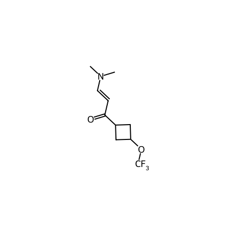 CN(C)C=CC(=O)C1CC(OC(F)(F)F)C1